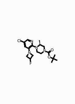 C[C@H]1CN(C(=O)OC(C)(C)C)CCN1c1ncc(Cl)cc1N1CC(F)C1